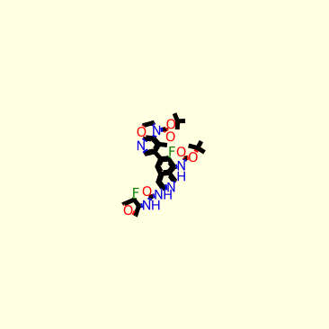 Cc1c(-c2cc3cc(NC(=O)NC4COCC4F)ncc3c(NC(=O)OC(C)(C)C)c2F)cnc2c1N(C(=O)OC(C)(C)C)CCO2